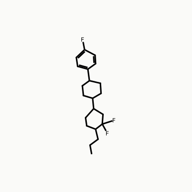 CCCC1CCC(C2CCC(c3ccc(F)cc3)CC2)CC1(F)F